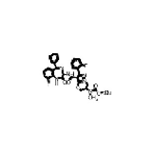 CN(C(=O)OC(C)(C)C)C1COc2c(C(=O)N[C@H]3N=C(c4ccccc4)c4cccc(F)c4NC3=O)c(-c3ccccc3F)nn2C1